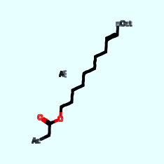 CCCCCCCCC=CCCCCCCCCOC(=O)CC(C)=O.[Al]